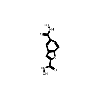 O=C(NO)c1ccc2sc(C(=O)NO)cc2c1